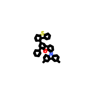 Cc1ccc2c(c1)c1cc(C)ccc1n2-c1cccc2c1oc1c(-c3ccccc3)cc(-c3cccc4sc5ccccc5c34)cc12